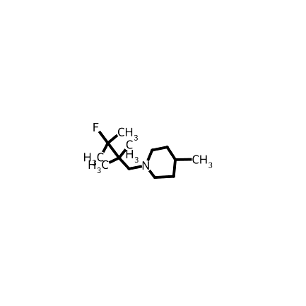 CC1CCN(CC(C)(C)C(C)(C)F)CC1